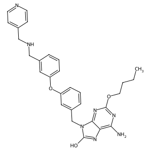 CCCCOc1nc(N)c2nc(O)n(Cc3cccc(Oc4cccc(CNCc5ccncc5)c4)c3)c2n1